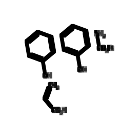 C=CC(=O)O.CCOC(N)=O.Oc1ccccc1.Oc1ccccc1